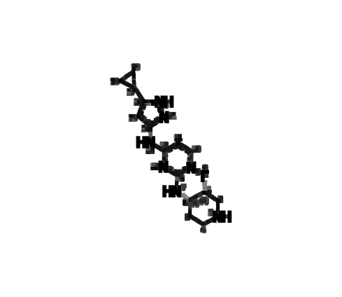 F[C@@H]1CNCC[C@@H]1Nc1nccc(Nc2cc(C3CC3)[nH]n2)n1